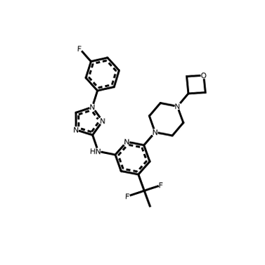 CC(F)(F)c1cc(Nc2ncn(-c3cccc(F)c3)n2)nc(N2CCN(C3COC3)CC2)c1